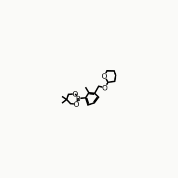 Cc1c(COC2CCCCO2)cccc1B1OCC(C)(C)CO1